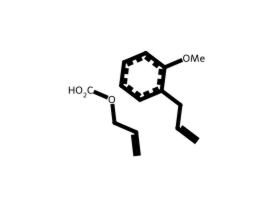 C=CCOC(=O)O.C=CCc1ccccc1OC